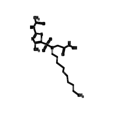 CCCCCCCCCCN(CC(=O)NO)S(=O)(=O)c1sc(NC(C)=O)nc1C